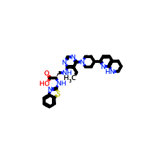 CCc1c(NC[C@H](Nc2nc3ccccc3s2)C(=O)O)ncnc1N1CCC(c2ccc3c(n2)NCCC3)CC1